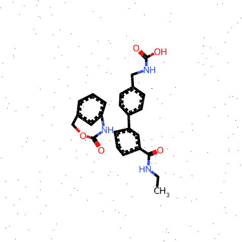 CCNC(=O)c1cccc(-c2ccc(CNC(=O)O)cc2)c1.O=C1Nc2cccc(c2)CO1